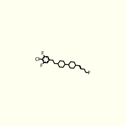 FCCC=CC1CCC(C2CCC(CCc3cc(F)c(Cl)c(F)c3)CC2)CC1